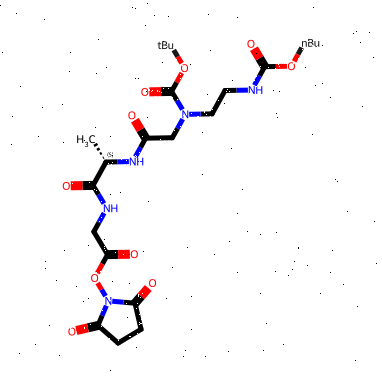 CCCCOC(=O)NCCN(CC(=O)N[C@@H](C)C(=O)NCC(=O)ON1C(=O)CCC1=O)C(=O)OC(C)(C)C